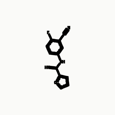 N#Cc1cc(NC(=N)c2ccco2)ccc1F